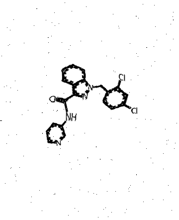 O=C(Nc1cccnc1)c1nn(Cc2ccc(Cl)cc2Cl)c2ccccc12